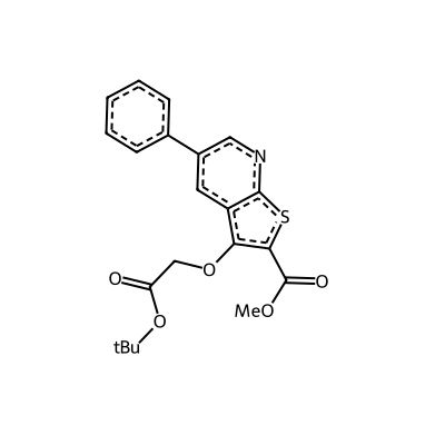 COC(=O)c1sc2ncc(-c3ccccc3)cc2c1OCC(=O)OC(C)(C)C